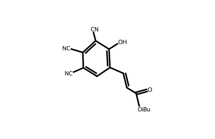 CC(C)COC(=O)C=Cc1cc(C#N)c(C#N)c(C#N)c1O